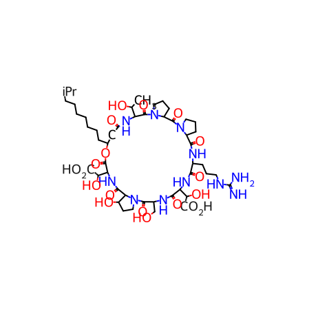 CC(C)CCCCCCCC1CC(=O)NC(C(C)O)C(=O)N2CCCC2C(=O)N2CCCC2C(=O)NC(CCCNC(=N)N)C(=O)NC(C(O)C(=O)O)C(=O)NC(CO)C(=O)N2CCC(O)C2C(=O)NC(C(O)C(=O)O)C(=O)O1